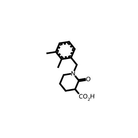 Cc1cccc(CN2CCCC(C(=O)O)C2=O)c1C